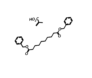 C=C(C)C(=O)O.O=C(CCCCCCCCC(=O)OCc1ccccc1)OCc1ccccc1